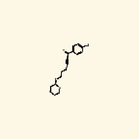 O=C(C#CCCCOC1CCCCO1)c1ccc(Cl)cc1